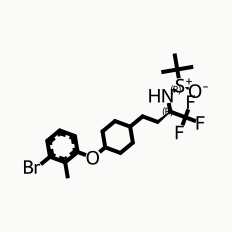 Cc1c(Br)cccc1OC1CCC(CC[C@@H](N[S@@+]([O-])C(C)(C)C)C(F)(F)F)CC1